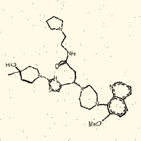 COc1ccc2cccnc2c1N1CCCN(C(CC(=O)NCCN2CCCC2)c2csc(N3CCC(C)(O)CC3)n2)CC1